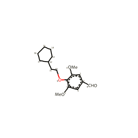 COc1cc(C=O)cc(OC)c1OCCC1CCCCC1